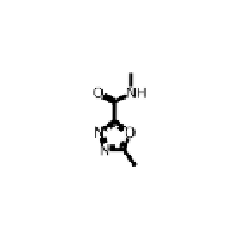 CNC(=O)c1nnc(C)o1